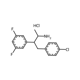 CC(N)C(Cc1ccc(Cl)cc1)c1cc(F)cc(F)c1.Cl